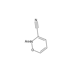 N#CC1=CC=CON1.[Ar]